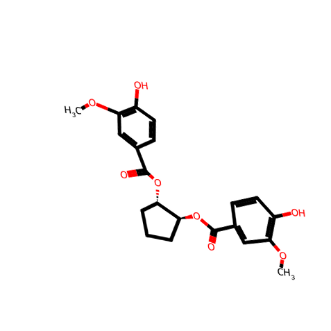 COc1cc(C(=O)O[C@H]2CCC[C@@H]2OC(=O)c2ccc(O)c(OC)c2)ccc1O